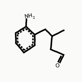 CC(CC=O)Cc1ccccc1N